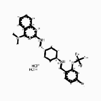 CN(C)c1nc(NC[C@H]2CC[C@H](NCc3ccc(Br)cc3OC(F)(F)F)CC2)nc2ccccc12.Cl.Cl